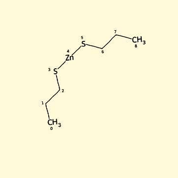 CCC[S][Zn][S]CCC